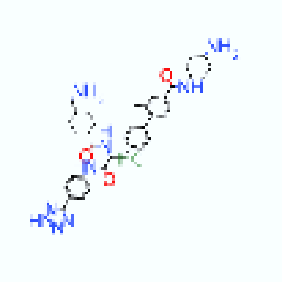 Cc1cc(C(=O)N[C@H]2CC[C@H](N)CC2)ccc1-c1ccc(C[C@H](NC(=O)[C@H]2CC[C@H](CN)CC2)C(=O)Nc2ccc(-c3nn[nH]n3)cc2)cc1.Cl